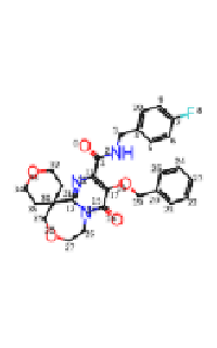 O=C(NCc1ccc(F)cc1)c1nc2n(c(=O)c1OCc1ccccc1)CCOCC21CCOCC1